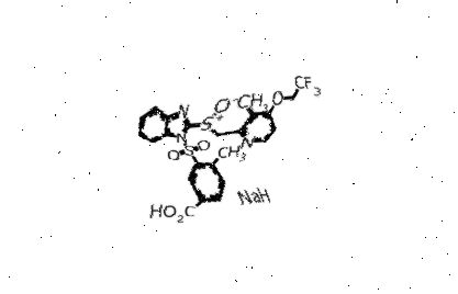 Cc1ccc(C(=O)O)cc1S(=O)(=O)n1c([S+]([O-])Cc2nccc(OCC(F)(F)F)c2C)nc2ccccc21.[NaH]